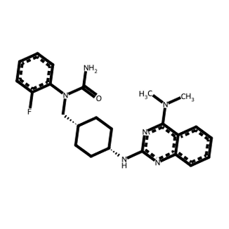 CN(C)c1nc(N[C@H]2CC[C@@H](CN(C(N)=O)c3ccccc3F)CC2)nc2ccccc12